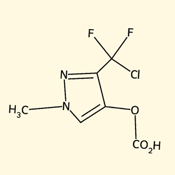 Cn1cc(OC(=O)O)c(C(F)(F)Cl)n1